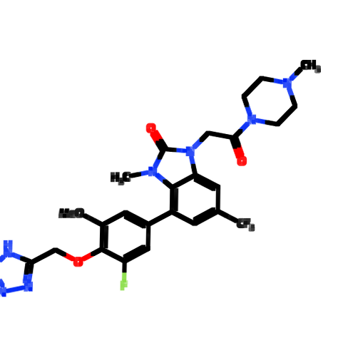 COc1cc(-c2cc(C(F)(F)F)cc3c2n(C)c(=O)n3CC(=O)N2CCN(C)CC2)cc(F)c1OCc1nnc[nH]1